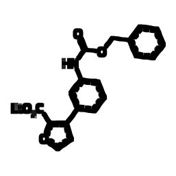 CCOC(=O)c1occc1-c1cccc(NC(=O)OCc2ccccc2)c1